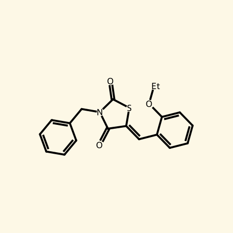 CCOc1ccccc1/C=C1\SC(=O)N(Cc2ccccc2)C1=O